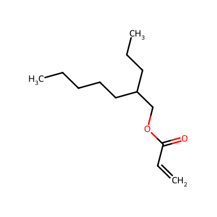 C=CC(=O)OCC(CCC)CCCCC